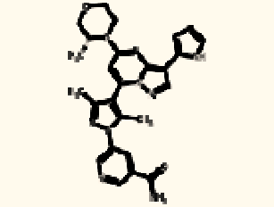 Cc1nn(-c2cncc(C(N)=O)c2)c(C)c1-c1cc(N2CCOC[C@H]2C)nc2c(-c3ccc[nH]3)cnn12